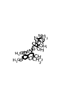 COc1cc(OC)c2c(c1)OC(C)(C)CC2NOC[C@H]1O[C@@H](n2cnc3c(N)ncnc32)[C@H](O)[C@@H]1O